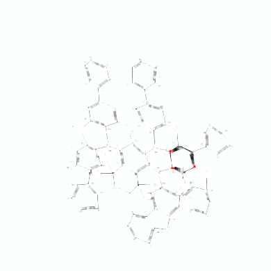 CC1(C)CCC(C)(C)c2c(N3c4ccc(-c5ccccc5)cc4Oc4cc5oc6ccccc6c5cc43)c(N3c4ccc(-c5ccccc5)cc4Oc4cc5oc6ccccc6c5cc43)c(C#N)c(N3c4ccc(-c5ccccc5)cc4Oc4cc5oc6ccccc6c5cc43)c21